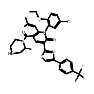 CCOc1ccc(Cl)cc1-n1c(C=C(C)C)c(C(=O)N2CCNC[C@@H]2C)cc(-c2nc(-c3ccc(C(F)(F)F)cc3)cs2)c1=O